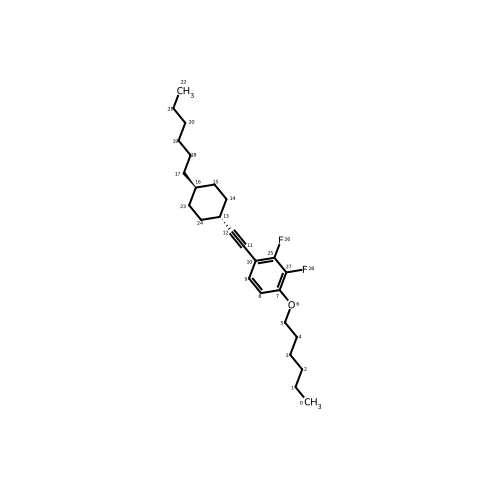 CCCCCCOc1ccc(C#C[C@H]2CC[C@H](CCCCCC)CC2)c(F)c1F